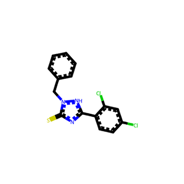 S=c1nc(-c2ccc(Cl)cc2Cl)[nH]n1Cc1ccccc1